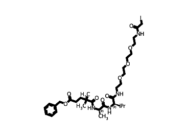 CC(C)[C@@H](NC(=O)[C@@H](C)NC(=O)C(C)(C)CCC(=O)OCc1ccccc1)C(=O)NCCOCCOCCOCCNC(=O)CI